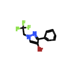 FC(F)(F)Cn1cc(Br)c(-c2ccccc2)n1